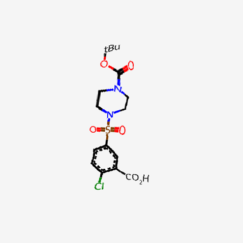 CC(C)(C)OC(=O)N1CCN(S(=O)(=O)c2ccc(Cl)c(C(=O)O)c2)CC1